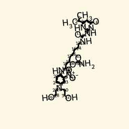 CC(C)c1cc(=O)nc(NC(=O)NCCCCCC(CCNc2ccc(N(CCO)CCO)cc2[N+](=O)[O-])OC(N)=O)[nH]1